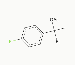 CCC(C)(OC(C)=O)c1ccc(F)cc1